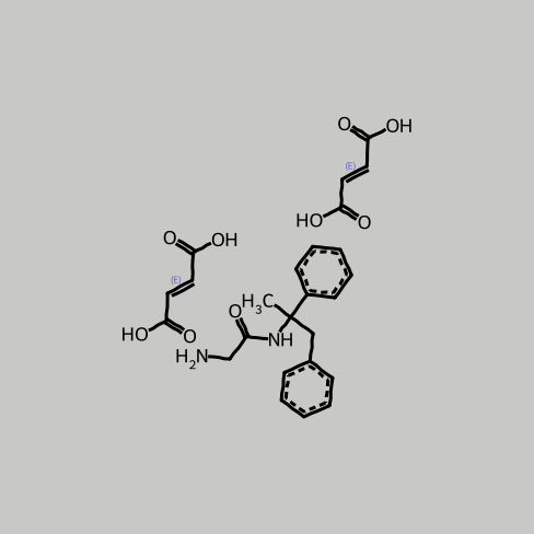 CC(Cc1ccccc1)(NC(=O)CN)c1ccccc1.O=C(O)/C=C/C(=O)O.O=C(O)/C=C/C(=O)O